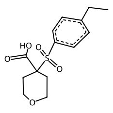 CCc1ccc(S(=O)(=O)C2(C(=O)O)CCOCC2)cc1